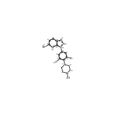 CCN1CCN(c2c(F)cc(-n3nnc4ccc(Br)nc43)cc2F)CC1